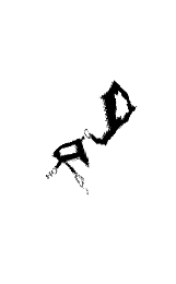 O[C@]1(C(F)(F)F)C[C@H](OCc2ccccc2)C1